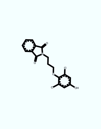 O=C1c2ccccc2C(=O)N1CCCOc1c(Cl)cc(O)cc1Cl